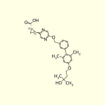 Cc1cc(OCCC(C)(C)O)cc(C)c1-c1cccc(COc2cnc([C@H]3C[C@@H]3C(=O)O)cn2)c1